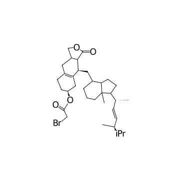 CC(C)[C@@H](C)/C=C/[C@@H](C)C1CCC2C(C[C@H]3C4=C(CC[C@H](OC(=O)CBr)C4)CC4COC(=O)C43)CCCC21C